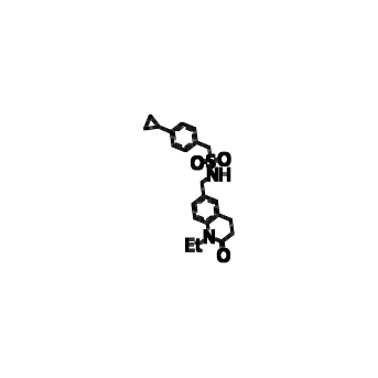 CCN1C(=O)CCc2cc(CNS(=O)(=O)Cc3ccc(C4CC4)cc3)ccc21